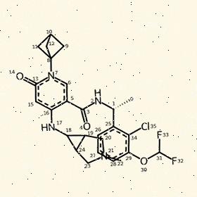 C[C@@H](NC(=O)c1cn(C23CC(C2)C3)c(=O)cc1NC1C2CN(C)CC21)c1cccc(OC(F)F)c1Cl